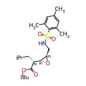 Cc1cc(C)c(S(=O)(=O)NC[C@H]2O[C@@H]2[C@@H](CC(C)C)C(=O)OC(C)(C)C)c(C)c1